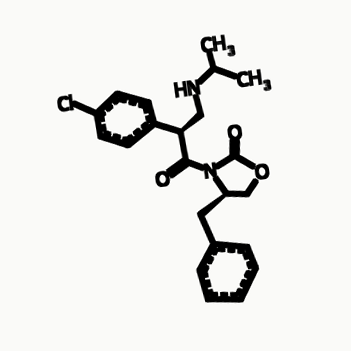 CC(C)NC[C@@H](C(=O)N1C(=O)OC[C@H]1Cc1ccccc1)c1ccc(Cl)cc1